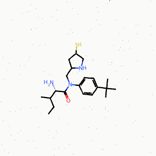 CCC(C)[C@H](N)C(=O)N(CC1CC(S)CN1)c1ccc(C(C)(C)C)cc1